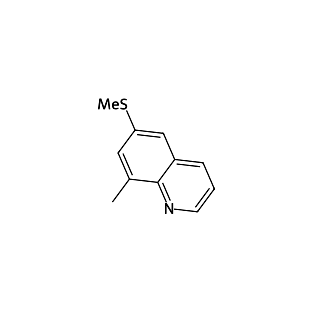 CSc1cc(C)c2ncccc2c1